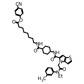 CCN(C(=O)Cn1c(C(=O)NC2CCC(C(=O)NCCCCCCCC(=O)Oc3ccc(C#N)cc3)CC2)cc2sccc21)c1cccc(C)c1